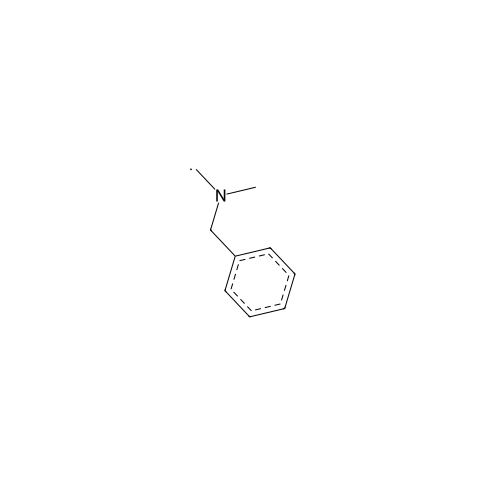 [CH2]N(C)Cc1ccccc1